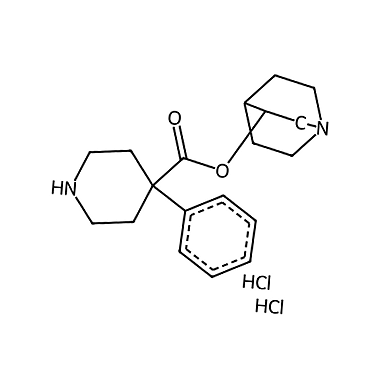 Cl.Cl.O=C(OC1CN2CCC1CC2)C1(c2ccccc2)CCNCC1